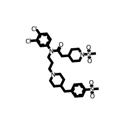 CS(=O)(=O)c1ccc(CC2CCN(CCCN(C(=O)CC3CCN(S(C)(=O)=O)CC3)c3ccc(Cl)c(Cl)c3)CC2)cc1